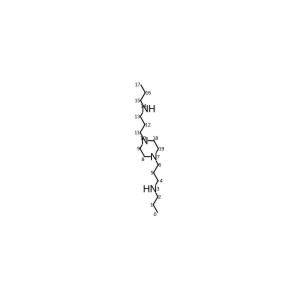 CCCNCCCN1CCN(CCCNCCC)CC1